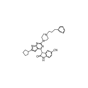 N#Cc1ccc2c(c1)C(c1nc(N3CCN(CCCc4ccccc4)CC3)nc3nn(C4CCCC4)cc13)C(=O)N2